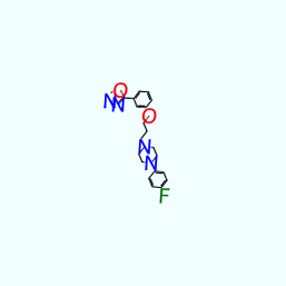 Fc1ccc(N2CCN(CCCOc3cccc(-c4nnco4)c3)CC2)cc1